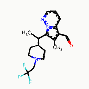 Cc1c(C=O)c2cccnn2c1C(C)C1CCN(CC(F)(F)F)CC1